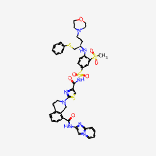 CS(=O)(=O)c1cc(S(=O)(=O)NC(=O)c2csc(N3CCc4cccc(C(=O)Nc5cn6ccccc6n5)c4C3)n2)ccc1N[C@H](CCN1CCOCC1)CSc1ccccc1